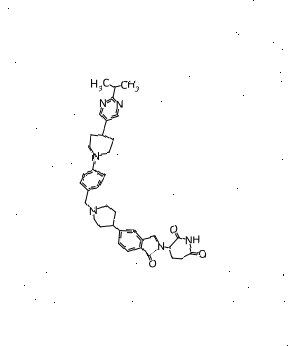 CC(C)c1ncc(C2CCN(c3ccc(CN4CCC(c5ccc6c(c5)CN(C5CCC(=O)NC5=O)C6=O)CC4)cc3)CC2)cn1